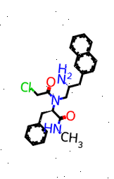 CNC(=O)[C@@H](Cc1ccccc1)N(C[C@H](N)Cc1ccc2ccccc2c1)C(=O)CCl